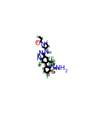 C=CC(=O)N1CC[C@@H](N(C)c2ncnc3c(F)c(-c4ccc(F)c5sc(N)nc45)c(C(F)(F)F)cc23)C1